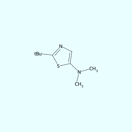 CN(C)c1cnc(C(C)(C)C)s1